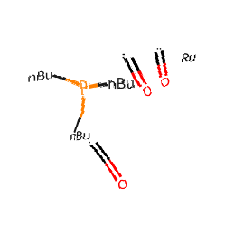 CCCCP(CCCC)CCCC.[C]=O.[C]=O.[C]=O.[Ru]